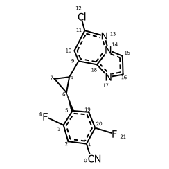 N#Cc1cc(F)c([C@H]2CC2c2cc(Cl)nn3ccnc23)cc1F